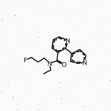 CCN(CCCF)C(=O)c1cccnc1-c1ccncc1